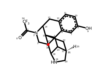 O=C(N1CCC23c4cc(O)ccc4CC1C21CCC2NC[C@H](C1)C23)C(F)(F)F